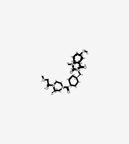 COCC(=O)N1CCN(C(=O)[C@H]2CC[C@H](Cn3c(=O)c4cc(OC)ccc4n(C)c3=O)CC2)C[C@H]1C